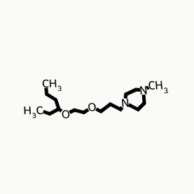 CCCC(CC)OCCOCCCN1CCN(C)CC1